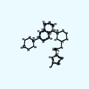 Cc1nnc(NCC2CCCN(c3ncnc4cc(N5CCOCC5)ccc34)C2)s1